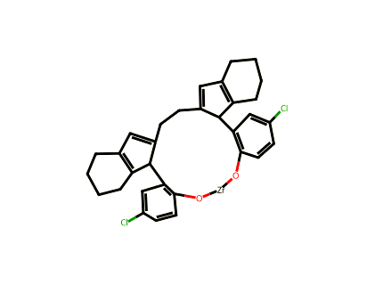 Clc1ccc2c(c1)C1C(=CC3=C1CCCC3)CCC1=CC3=C(CCCC3)C1c1cc(Cl)ccc1[O][Zr][O]2